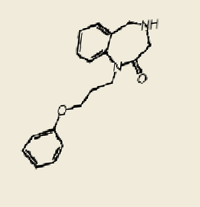 O=C1CNCc2ccccc2N1CCCOc1ccccc1